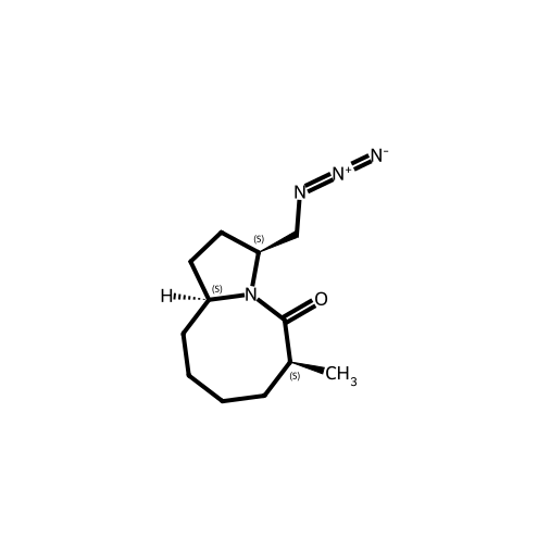 C[C@H]1CCCC[C@H]2CC[C@@H](CN=[N+]=[N-])N2C1=O